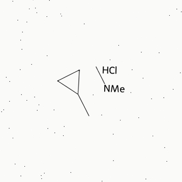 CC1CC1.CNC.Cl